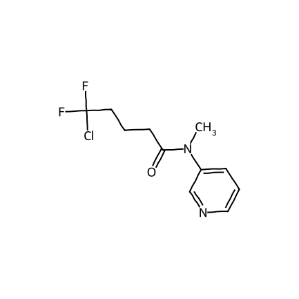 CN(C(=O)CCCC(F)(F)Cl)c1cccnc1